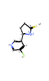 Fc1cncc(C2CCC(=S)N2)c1